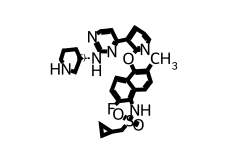 Cc1ccc2c(NS(=O)(=O)CC3CC3)c(F)ccc2c1Oc1ncccc1-c1ccnc(N[C@H]2CCCNC2)n1